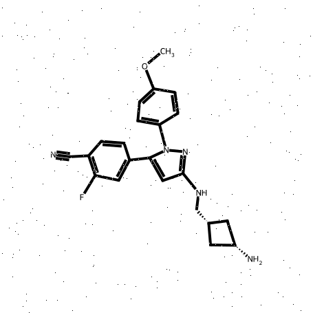 COc1ccc(-n2nc(NC[C@H]3C[C@@H](N)C3)cc2-c2ccc(C#N)c(F)c2)cc1